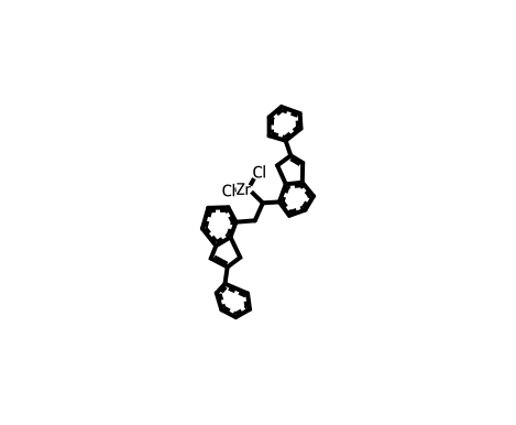 [Cl][Zr]([Cl])[CH](Cc1cccc2c1CC(c1ccccc1)=C2)c1cccc2c1CC(c1ccccc1)=C2